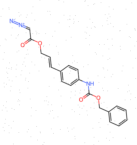 [N-]=[N+]=CC(=O)OCC=Cc1ccc(NC(=O)OCc2ccccc2)cc1